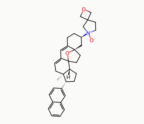 C[C@]12CC=C3C=C4CC[C@@H]([N+]5([O-])CCC6(COC6)C5)C[C@]45CCC3(O5)[C@@H]1CC[C@@H]2c1ccc2ccccc2c1